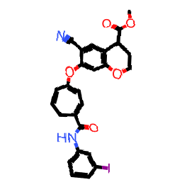 COC(=O)C1CCOc2cc(OC3=CC=C(C(=O)Nc4cccc(I)c4)CC=C3)c(C#N)cc21